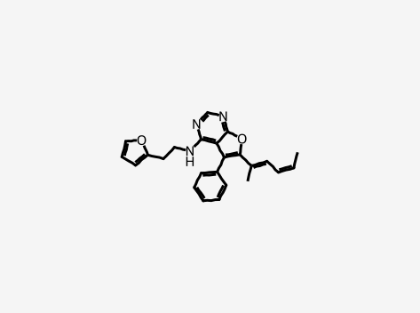 C/C=C\C=C(/C)c1oc2ncnc(NCCc3ccco3)c2c1-c1ccccc1